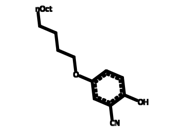 CCCCCCCCCCCCOc1ccc(O)c(C#N)c1